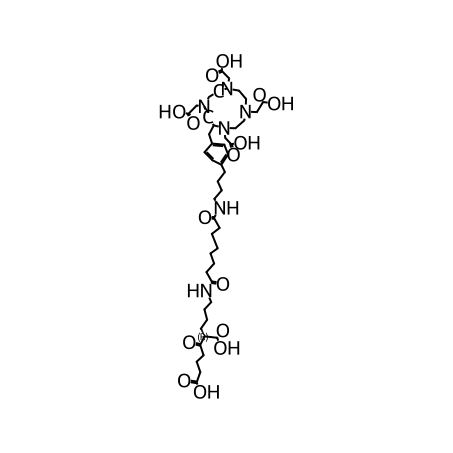 O=C(O)CCCC(=O)[C@@H](CCCCNC(=O)CCCCCCC(=O)NCCCCc1ccc(CC2CN(CC(=O)O)CCN(CC(=O)O)CCN(CC(=O)O)CCN2CC(=O)O)cc1)C(=O)O